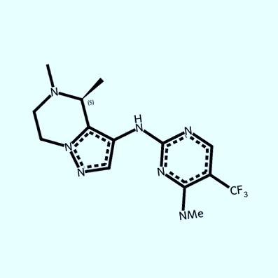 CNc1nc(Nc2cnn3c2[C@H](C)N(C)CC3)ncc1C(F)(F)F